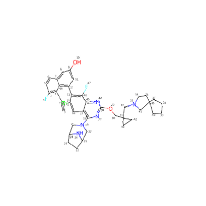 C#Cc1c(F)ccc2cc(O)cc(-c3c(Cl)cc4c(N5CC6CCC(C5)N6)nc(OCC5(CN6CCC7(CCCC7)C6)CC5)nc4c3F)c12